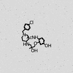 CC(=O)Nc1ccc(O)cc1OCC(C)(O)CNC1CCN(Cc2ccc(Cl)cc2)CC1